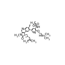 CC(C)NCCOc1ncc(-c2cc3c(cc2F)ncc2c3[C@]3(C[C@H](CN(C)C)C3)C(=O)N2C)cc1NS(C)(=O)=O